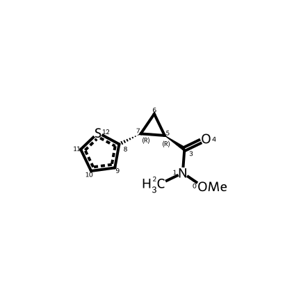 CON(C)C(=O)[C@@H]1C[C@H]1c1cccs1